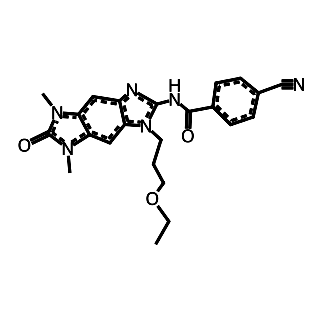 CCOCCCn1c(NC(=O)c2ccc(C#N)cc2)nc2cc3c(cc21)n(C)c(=O)n3C